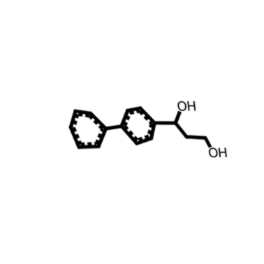 OCCC(O)c1ccc(-c2ccccc2)cc1